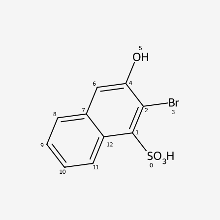 O=S(=O)(O)c1c(Br)c(O)cc2ccccc12